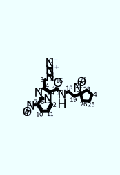 [N-]=[N+]=NCc1nc2c(N=O)cccn2c1C(=O)NCCC1(N=O)CCCC1